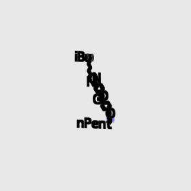 CCCCC/C=C/Oc1ccc(C(=O)Oc2ccc(-c3ncc(CCCC[C@@H](C)CC)cn3)cc2)cc1